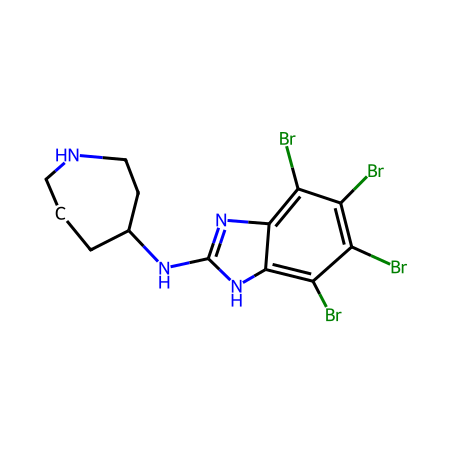 Brc1c(Br)c(Br)c2[nH]c(NC3CCCNCC3)nc2c1Br